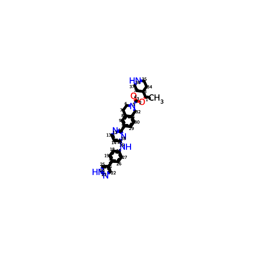 CC(OC(=O)N1CCc2cc(-c3nccc(Nc4ccc(-c5cn[nH]c5)cc4)n3)ccc2C1)C1CCNCC1